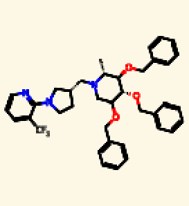 C[C@@H]1[C@@H](OCc2ccccc2)[C@H](OCc2ccccc2)[C@@H](OCc2ccccc2)CN1C[C@@H]1CCN(c2ncccc2C(F)(F)F)C1